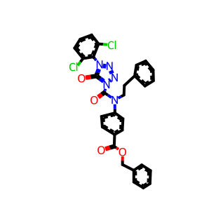 O=C(OCc1ccccc1)c1ccc(N(CCc2ccccc2)C(=O)n2nnn(-c3c(Cl)cccc3Cl)c2=O)cc1